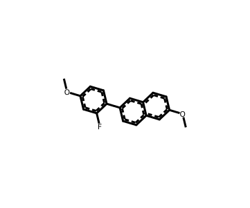 COc1ccc(-c2ccc3cc(OC)ccc3c2)c(F)c1